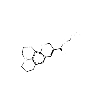 CC(=O)OCOC(=O)C1=Cc2cc3c4c(c2OC1)CCCN4CCC3